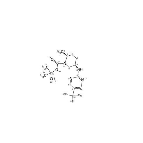 C[C@H]1CC[C@@H](Nc2ncc(C(F)(F)F)cn2)CN1C(=O)OC(C)(C)C